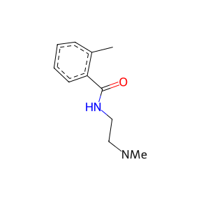 CNCCNC(=O)c1ccccc1C